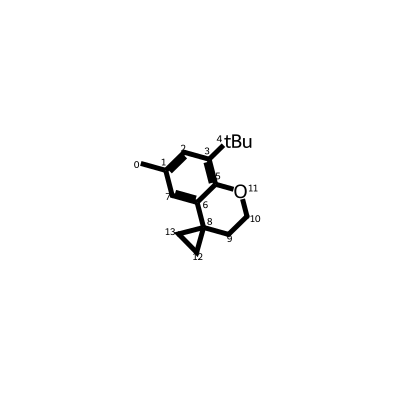 Cc1cc(C(C)(C)C)c2c(c1)C1(CCO2)CC1